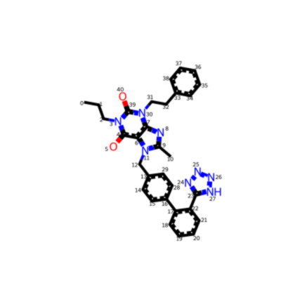 CCCn1c(=O)c2c(nc(C)n2Cc2ccc(-c3ccccc3-c3nnn[nH]3)cc2)n(CCc2ccccc2)c1=O